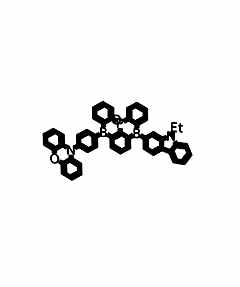 CCn1c2ccccc2c2ccc(B3c4ccccc4P4(=O)c5ccccc5B(c5ccc(N6c7ccccc7Oc7ccccc76)cc5)c5cccc3c54)cc21